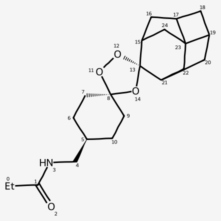 CCC(=O)NC[C@H]1CC[C@]2(CC1)OO[C@]1(O2)C2CC3CC4CC1CC34C2